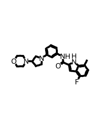 Cc1ccc(F)c2cc(C(=O)Nc3cccc(N4CCC(N5CCOCC5)C4)c3)[nH]c12